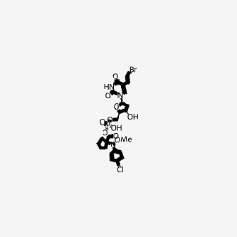 CON(c1ccc(Cl)cc1)C1(C(=O)OP(=O)(O)OC[C@H]2O[C@@H](n3cc(/C=C/Br)c(=O)[nH]c3=O)C[C@@H]2O)CCCC1